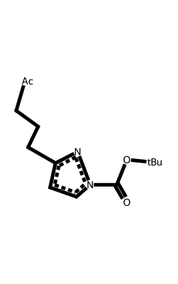 CC(=O)CCCc1ccn(C(=O)OC(C)(C)C)n1